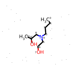 CCCCN(CCO)CC(C)O